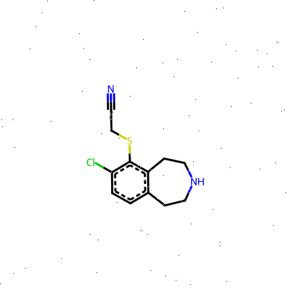 N#CCSc1c(Cl)ccc2c1CCNCC2